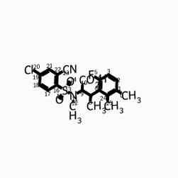 Cc1ccc(F)c(C(C)C(C(=O)O)N(C)S(=O)(=O)c2ccc(Cl)cc2C#N)c1C